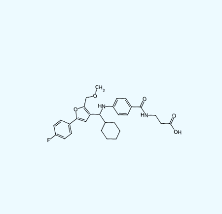 COCc1oc(-c2ccc(F)cc2)cc1C(Nc1ccc(C(=O)NCCC(=O)O)cc1)C1CCCCC1